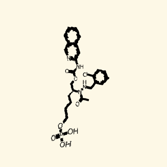 CC(=O)N(NCc1ccccc1Cl)[C@@H](CCCCOP(=O)(O)O)COC(=O)Nc1cc2ccccc2cn1